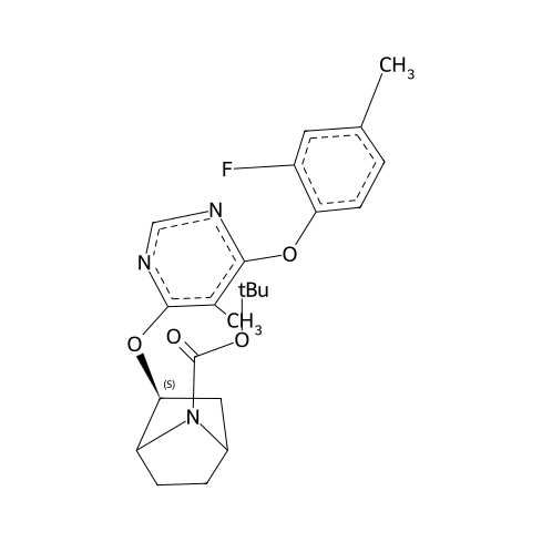 Cc1ccc(Oc2ncnc(O[C@H]3CC4CCC3N4C(=O)OC(C)(C)C)c2C)c(F)c1